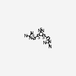 N#CC(C#N)=Nc1ccc(-c2cc3c4nsnc4c4cc(-c5ccc(N=C(C#N)C#N)s5)sc4c3s2)s1